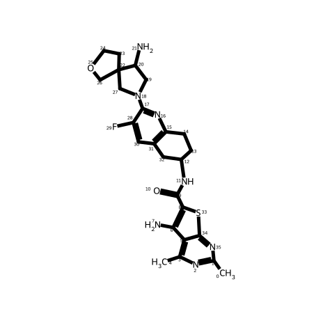 Cc1nc(C)c2c(N)c(C(=O)NC3CCc4nc(N5CC(N)C6(CCOC6)C5)c(F)cc4C3)sc2n1